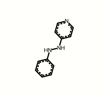 c1ccc(NNc2ccncc2)cc1